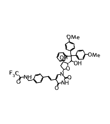 COc1ccc(C(c2ccccc2)(c2ccc(OC)cc2)C(O)[C@H]2O[C@@H](n3cc(C=Cc4ccc(CNC(=O)C(F)(F)F)cc4)c(=O)[nH]c3=O)C[C@@H]2O)cc1